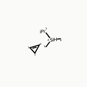 C1=CC1.CC(C)[SiH](C)C